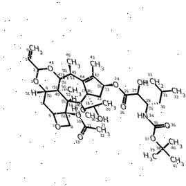 C=CC1O[C@H]2CC3OC[C@@]3(OC(C)=O)[C@H]3[C@H](C)[C@]4(C(C)(C)O)C[C@H](OC(=O)C(O)[C@H](CC(C)C)NC(=O)OC(C)(C)C)C(C)=C4[C@H](C)[C@H](O1)[C@]23C